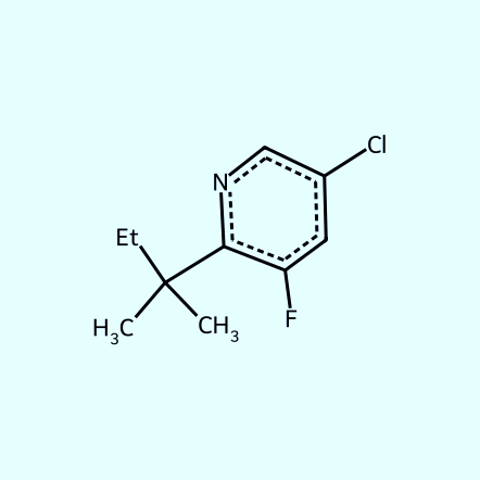 CCC(C)(C)c1ncc(Cl)cc1F